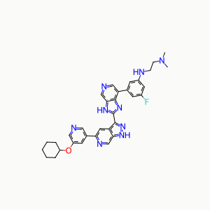 CN(C)CCNc1cc(F)cc(-c2cncc3[nH]c(-c4n[nH]c5cnc(-c6cncc(OC7CCCCC7)c6)cc45)nc23)c1